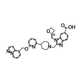 O=C(O)c1ccc2nc(CN3CCC(c4cccc(OCc5cccn6nccc56)n4)CC3)n(C[C@@H]3CCO3)c2c1